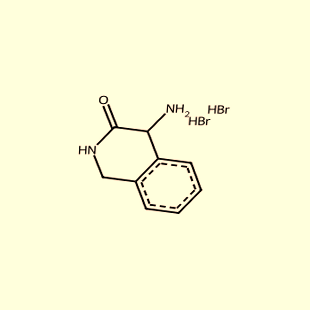 Br.Br.NC1C(=O)NCc2ccccc21